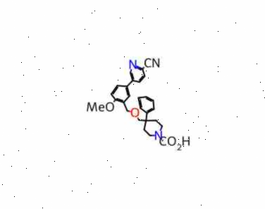 COc1ccc(-c2ccc(C#N)nc2)cc1COCC1(c2ccccc2)CCN(C(=O)O)CC1